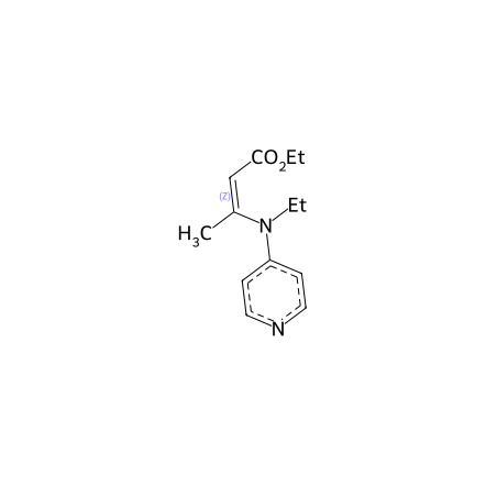 CCOC(=O)/C=C(/C)N(CC)c1ccncc1